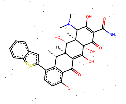 C[C@H]1c2c(-c3cc4ccccc4s3)ccc(O)c2C(=O)C2=C(O)[C@]3(O)C(=O)C(C(N)=O)=C(O)C(N(C)C)[C@@H]3[C@@H](O)[C@@H]21